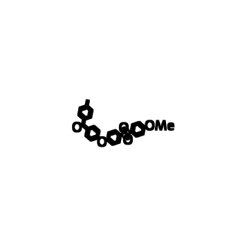 COc1ccc(S(=O)(=O)c2ccc(Oc3ccc(C(=O)c4ccc(C)cc4)cc3)cc2)cc1